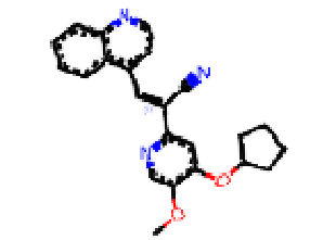 COc1cnc(/C(C#N)=C/c2ccnc3ccccc23)cc1OC1CCCC1